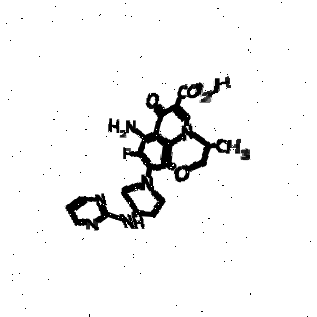 C[C@H]1COc2c(N3CC[C@@H](Nc4ncccn4)C3)c(F)c(N)c3c(=O)c(C(=O)O)cn1c23